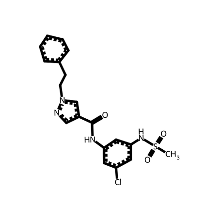 CS(=O)(=O)Nc1cc(Cl)cc(NC(=O)c2cnn(CCc3ccccc3)c2)c1